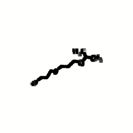 CC(C)OCCCOCCC[O]